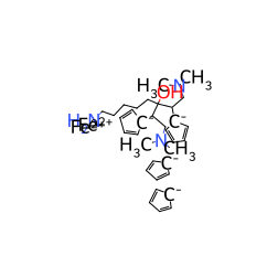 CN(C)CC([c-]1cccc1)C(O)(CCCCCN)C(CN(C)C)[c-]1cccc1.[Fe+2].[Fe+2].c1cc[cH-]c1.c1cc[cH-]c1